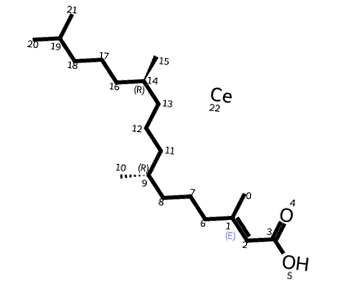 C/C(=C\C(=O)O)CCC[C@H](C)CCC[C@H](C)CCCC(C)C.[Ce]